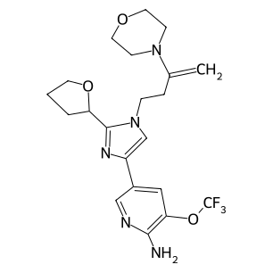 C=C(CCn1cc(-c2cnc(N)c(OC(F)(F)F)c2)nc1C1CCCO1)N1CCOCC1